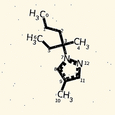 CCCC(C)(CC)n1cc(C)cn1